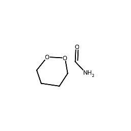 C1CCOOC1.NC=O